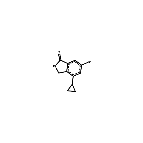 O=C1NCc2c1cc(Br)cc2C1CC1